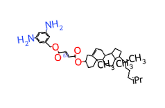 CC(C)CCCC(C)C1CCC2C3CC=C4CC(OC(=O)/C=C/C(=O)OCc5cc(N)cc(N)c5)CCC4(C)C3CCC12C